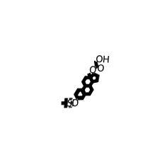 CC12CCC3c4ccc(O[Si](C)(C)C(C)(C)C)cc4CCC3C1CCC2OC(=O)CO